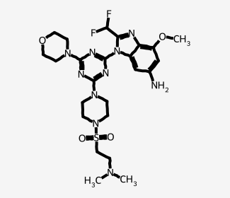 COc1cc(N)cc2c1nc(C(F)F)n2-c1nc(N2CCOCC2)nc(N2CCN(S(=O)(=O)CCN(C)C)CC2)n1